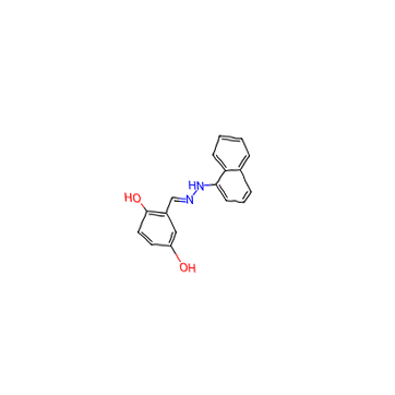 Oc1ccc(O)c(/C=N/Nc2cccc3ccccc23)c1